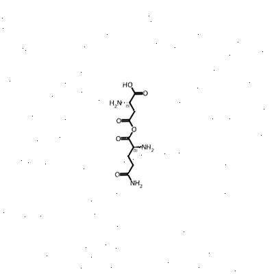 NC(=O)CC[C@H](N)C(=O)OC(=O)C[C@H](N)C(=O)O